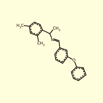 Cc1ccc(C(C)N=Cc2cccc(Oc3ccccc3)c2)c(C)c1